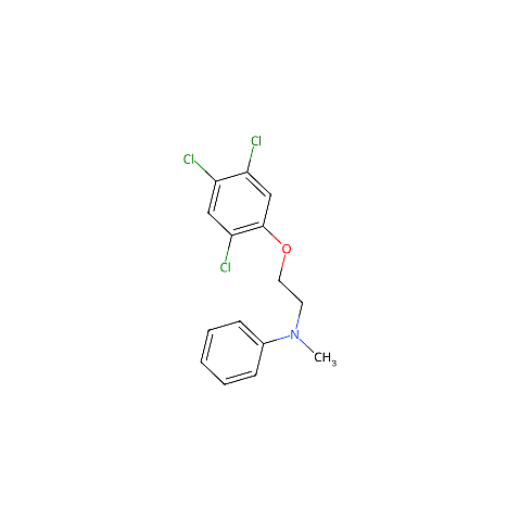 CN(CCOc1cc(Cl)c(Cl)cc1Cl)c1ccccc1